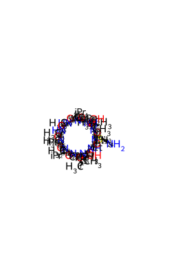 C/C=C/C[C@@H](C)[C@@H](O)[C@H]1C(=O)N[C@@H](CC)C(=O)N(C)[C@H](CSCCCN)C(=O)N(C)[C@@H](CC(C)(C)O)C(=O)N[C@H](C(C)C)C(=O)N(C)[C@H](CCC(C)C)C(=O)N[C@H](C)C(=O)N[C@@H](C)C(=O)N(C)[C@@H](CC(C)C)C(=O)N(C)[C@@H](CCC(C)C)C(=O)N(C)[C@@H](C(C)C)C(=O)N1C